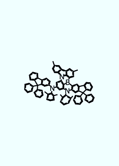 Cc1ccc2c(c1)c1cc(C)cc3c1n2-c1cc(N(c2ccc4c(c2)C(c2ccccc2)(c2ccccc2)c2ccccc2-4)c2c(C)cccc2C)cc2c1B3c1cc3c(cc1N2c1c(C)cccc1C)C(c1ccccc1)(c1ccccc1)c1ccccc1-3